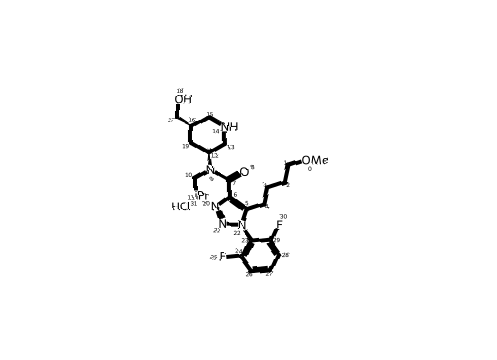 COCCCCc1c(C(=O)N(CC(C)C)[C@@H]2CNC[C@H](CO)C2)nnn1-c1c(F)cccc1F.Cl